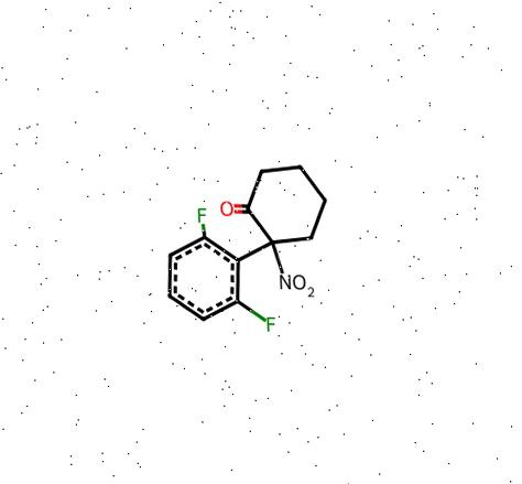 O=C1CCCCC1(c1c(F)cccc1F)[N+](=O)[O-]